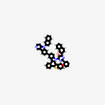 c1ccc(-c2nc(-n3c4ccc(-c5ccc6c7cnccc7n(-c7ccc8ccccc8c7)c6c5)cc4c4c5ccccc5c5sc6ccccc6c5c43)c3oc4c5ccccc5ccc4c3n2)cc1